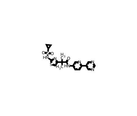 CC(C)(C(=O)Nc1ccc(-c2cncnc2)nc1)c1csc(NS(=O)(=O)C2CC2)n1